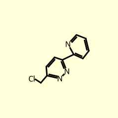 ClCc1ccc(-c2ccccn2)nn1